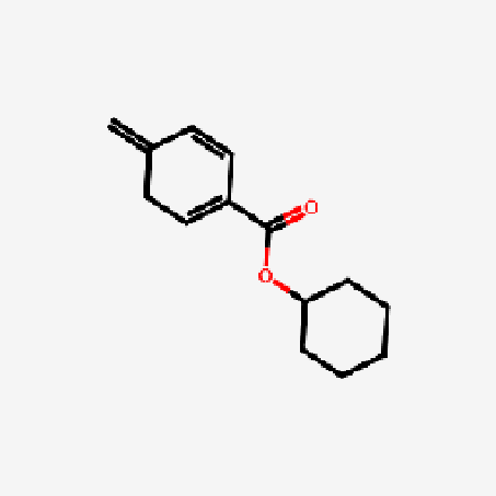 C=C1C=CC(C(=O)OC2CCCCC2)=CC1